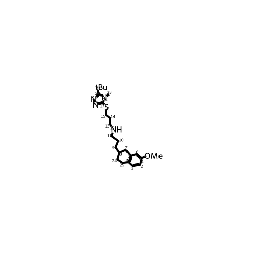 COc1ccc2c(c1)CC(CCCNCCCSc1nnc(C(C)(C)C)n1C)CC2